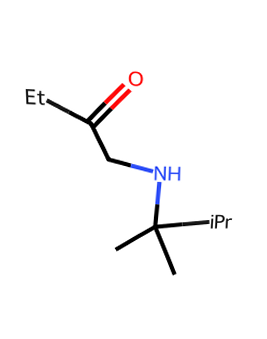 CCC(=O)CNC(C)(C)C(C)C